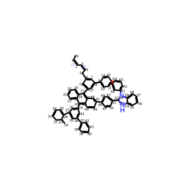 C/C=C\C=C/Cc1cc(-c2ccccc2)cc(-c2c3ccccc3c(-c3cc(C4=CC=CCC4C)cc(-c4ccccc4)c3)c3ccc(-c4ccc(C5Nc6ccccc6N5c5ccccc5)cc4)cc23)c1